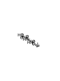 C[Si](C)(C)CCOC(=O)NCCCNC(=O)CCC(=O)O